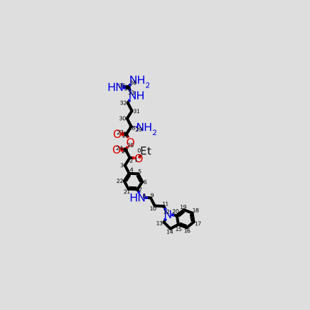 CCOC(Cc1ccc(NCCCN2CCc3ccccc32)cc1)C(=O)OC(=O)[C@@H](N)CCCNC(=N)N